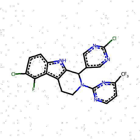 Fc1c(Cl)ccc2[nH]c3c(c12)CCN(c1nccc(C(F)(F)F)n1)C3c1cnc(Cl)nc1